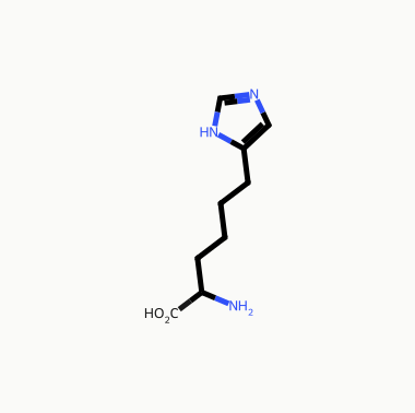 NC(CCCCc1cnc[nH]1)C(=O)O